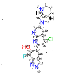 CN1CCC[C@@H]2CN(c3cnc4nc(-c5cc6cn(C)nc6c(F)c5O)cc(Cl)c4c3)C[C@@H]21